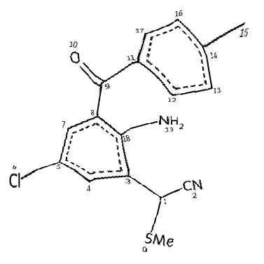 CSC(C#N)c1cc(Cl)cc(C(=O)c2ccc(C)cc2)c1N